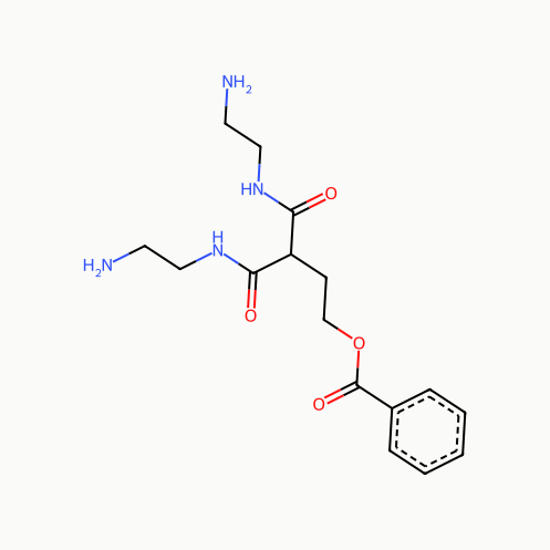 NCCNC(=O)C(CCOC(=O)c1ccccc1)C(=O)NCCN